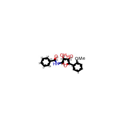 COc1ccccc1-c1oc(NC(=O)c2ccccc2)c(O)c1O